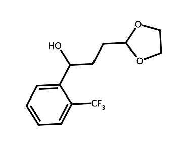 OC(CCC1OCCO1)c1ccccc1C(F)(F)F